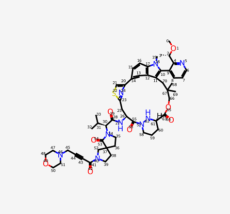 CO[C@@H](C)c1ncccc1-c1c2c3cc(ccc3n1C)-c1csc(n1)C[C@H](NC(=O)[C@H](C(C)C)N1CCC3(CCN(C(=O)C#CCN4CCOCC4)C3)C1=O)C(=O)N1CCC[C@H](N1)C(=O)OCC(C)(C)C2